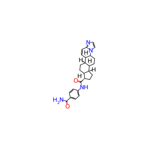 NC(=O)c1ccc(NC(=O)[C@@H]2CC[C@H]3[C@@H]4CCC5[C@H](C=Cc6nccn65)[C@H]4CC[C@@H]32)cc1